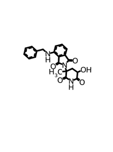 CC1(N2C(=O)c3cccc(NCc4ccccc4)c3C2=O)CC(O)C(=O)NC1=O